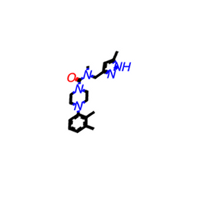 Cc1cc(CN(C)C(=O)N2CCN(c3cccc(C)c3C)CC2)n[nH]1